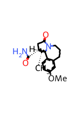 COc1ccc2c(c1)CCCN1C(=O)C[C@H]3[C@H](C(N)=O)[C@@H](C)C[C@]231